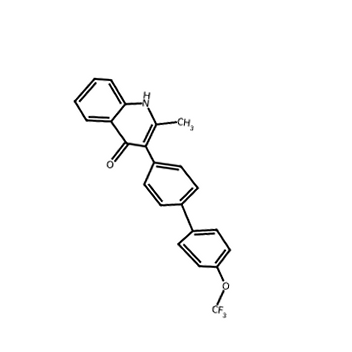 Cc1[nH]c2ccccc2c(=O)c1-c1ccc(-c2ccc(OC(F)(F)F)cc2)cc1